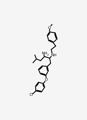 COc1ccc(CCNC(Cc2cccc(Oc3ccc(Cl)cc3)c2)C(N)CC(C)C)cc1